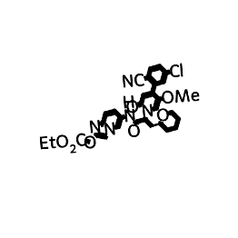 CCOC(=O)Oc1cn2cc(NC(=O)C(C[C@@H]3CCCCO3)n3cc(OC)c(-c4cc(Cl)ccc4C#N)cc3=O)ccc2n1